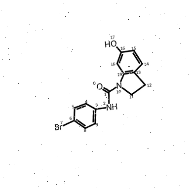 O=C(Nc1ccc(Br)cc1)N1CCc2ccc(O)cc21